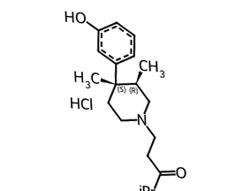 CC(C)C(=O)CCN1CC[C@](C)(c2cccc(O)c2)[C@@H](C)C1.Cl